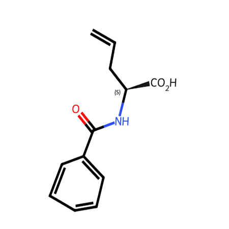 C=CC[C@H](NC(=O)c1ccccc1)C(=O)O